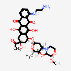 CO[C@H]1OCCN2C1O[C@@H]1[C@H](C)O[C@@H](O[C@H]3C[C@](O)(C(C)=O)Cc4c(O)c5c(c(O)c43)C(=O)c3c(NCCN)cccc3C5=O)C[C@@H]12